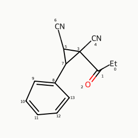 CCC(=O)C1(C#N)C(C#N)C1c1ccccc1